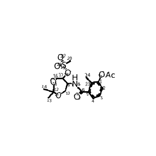 CC(=O)Oc1cccc(C(=O)NC2COC(C)(C)OCC2OS(C)(=O)=O)c1C